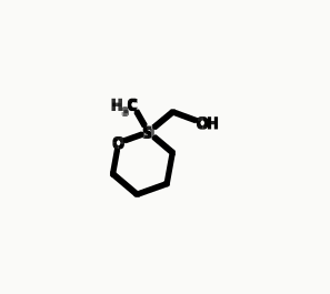 C[Si]1(CO)CCCCO1